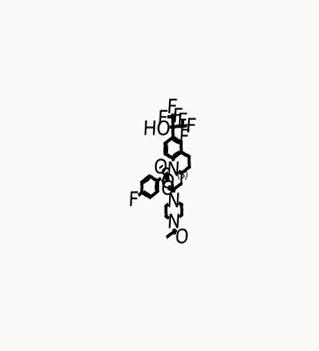 CC(=O)N1CCN(C(=O)C[C@@H]2CCc3cc(C(O)(C(F)(F)F)C(F)(F)F)ccc3N2S(=O)(=O)c2ccc(F)cc2)CC1